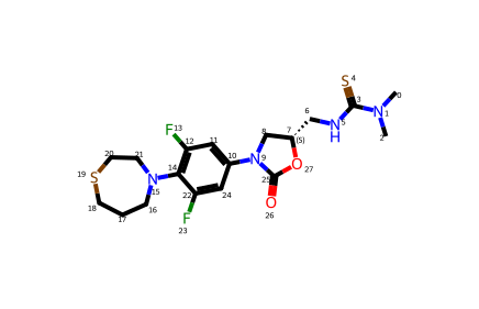 CN(C)C(=S)NC[C@H]1CN(c2cc(F)c(N3CCCSCC3)c(F)c2)C(=O)O1